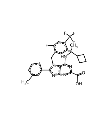 Cc1cccc(-c2nc3nc(C(=O)O)nc(N[C@H](C)C4CCC4)c3n2Cc2ccc(C(F)(F)F)cc2F)c1